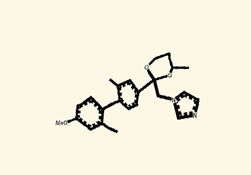 COc1ccc(-c2ccc(C3(Cn4ccnc4)OCCC(C)O3)cc2C)c(C)c1